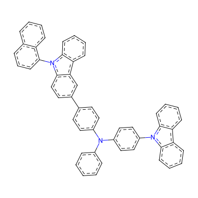 c1ccc(N(c2ccc(-c3ccc4c(c3)c3ccccc3n4-c3cccc4ccccc34)cc2)c2ccc(-n3c4ccccc4c4ccccc43)cc2)cc1